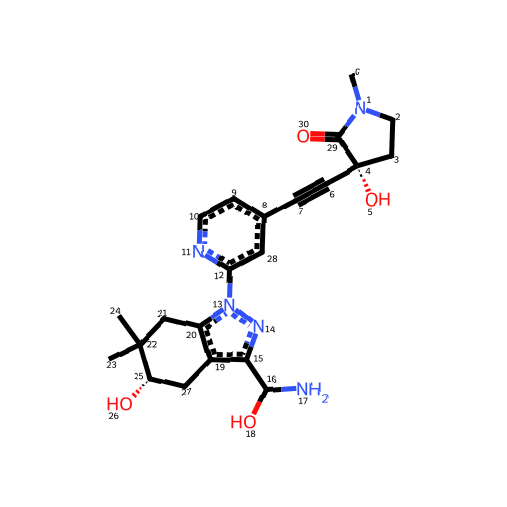 CN1CC[C@@](O)(C#Cc2ccnc(-n3nc(C(N)O)c4c3CC(C)(C)[C@@H](O)C4)c2)C1=O